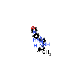 C=C(/C=C(\N)Nc1ccnc(Nc2ccc(N3CCOCC3)cc2)n1)C1CC1